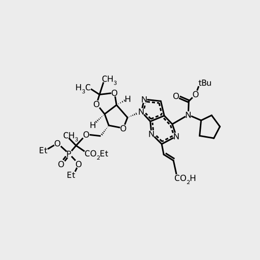 CCOC(=O)C(C)(OC[C@H]1O[C@@H](n2ncc3c(N(C(=O)OC(C)(C)C)C4CCCC4)nc(/C=C/C(=O)O)nc32)[C@@H]2OC(C)(C)O[C@@H]21)P(=O)(OCC)OCC